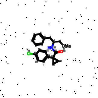 COC[C@H](Cc1ccccc1)NC(=O)C1(c2ccc(Cl)cc2)CC1